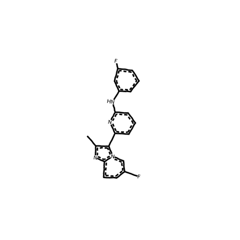 Cc1nc2ccc(F)cn2c1-c1cccc(Nc2cccc(F)c2)n1